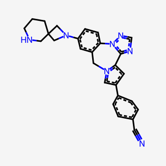 N#Cc1ccc(-c2cc3n(c2)Cc2cc(N4CC5(CCCNC5)C4)ccc2-n2ncnc2-3)cc1